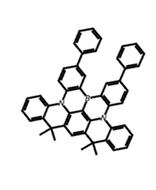 CC1(C)c2ccccc2N2c3ccc(-c4ccccc4)cc3B3c4cc(-c5ccccc5)ccc4N4c5ccccc5C(C)(C)c5cc1c2c3c54